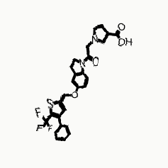 O=C(O)C1CCN(CC(=O)N2CCc3cc(OCc4cc(-c5ccccc5)c(C(F)(F)F)s4)ccc32)C1